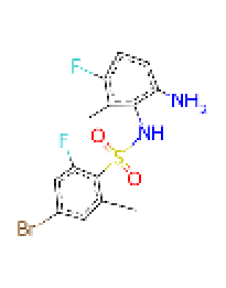 Cc1cc(Br)cc(F)c1S(=O)(=O)Nc1c(N)ccc(F)c1C